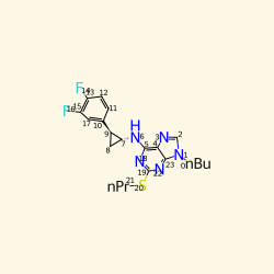 CCCCn1cnc2c(N[C@@H]3C[C@H]3c3ccc(F)c(F)c3)nc(SCCC)nc21